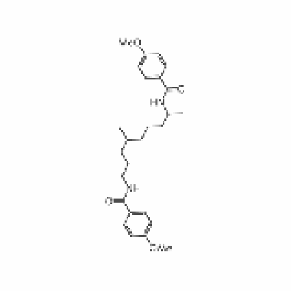 COc1ccc(C(=O)NCCCC(C)CCCC(C)NC(=O)c2ccc(OC)cc2)cc1